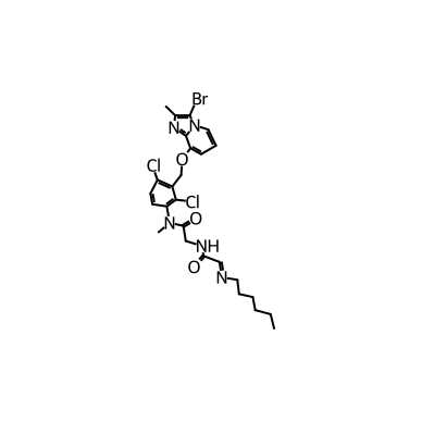 CCCCCCN=CC(=O)NCC(=O)N(C)c1ccc(Cl)c(COc2cccn3c(Br)c(C)nc23)c1Cl